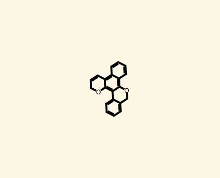 C1=Cc2c(c3c(c4ccccc24)OCc2ccccc2-3)OC1